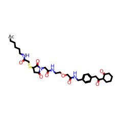 CC(=O)CCCCCNC(=O)CSC1CC(=O)N(CC(=O)NCCOCC(=O)NCc2ccc(CC(=O)C3CCCCC3=O)cc2)C1=O